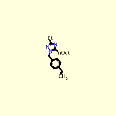 C=Cc1ccc(Cn2nc(CC)nc2CCCCCCCC)cc1